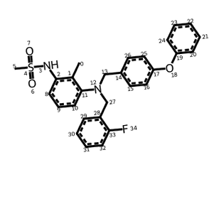 Cc1c(NS(C)(=O)=O)cccc1N(Cc1ccc(Oc2ccccc2)cc1)Cc1ccccc1F